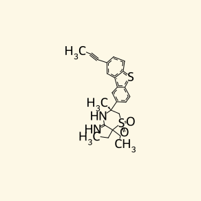 CC#Cc1ccc2sc3ccc([C@]4(C)CS(=O)(=O)C(CC)(CC)C(=N)N4)cc3c2c1